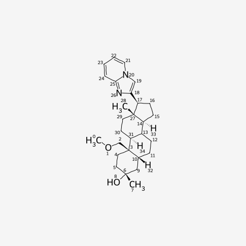 COC[C@]12CC[C@@](C)(O)C[C@H]1CCC1[C@@H]3CC[C@H](c4cn5ccccc5n4)[C@@]3(C)CC[C@@H]12